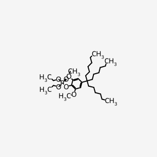 CCCCCCC(CCCCCC)(CCCCCC)c1cc(OC)c(OP(=O)(OCC)OCC)c(OC)c1